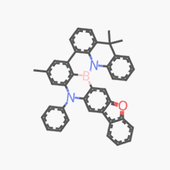 Cc1cc2c3c(c1)N(c1ccccc1)c1cc4c(cc1B3N1c3ccccc3C(C)(C)c3cccc-2c31)oc1ccccc14